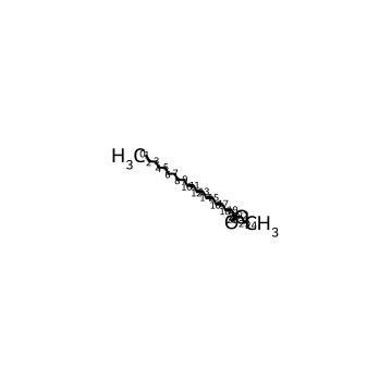 CCCCCCCCCCC=CC=CC=CC=CC=CC(=O)OCC